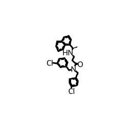 C[C@@H](NCCC(=O)N(Cc1ccc(Cl)cc1)Cc1cccc(Cl)c1)c1cccc2ccccc12